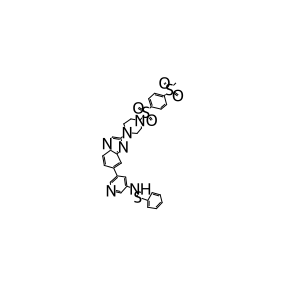 CS(=O)(=O)c1ccc(S(=O)(=O)N2CCN(c3cnc4ccc(-c5cncc(NSc6ccccc6)c5)cc4n3)CC2)cc1